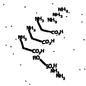 N.N.N.N.N.NCC(=O)O.NCC(=O)O.NCC(=O)O.O=S(=O)(O)O